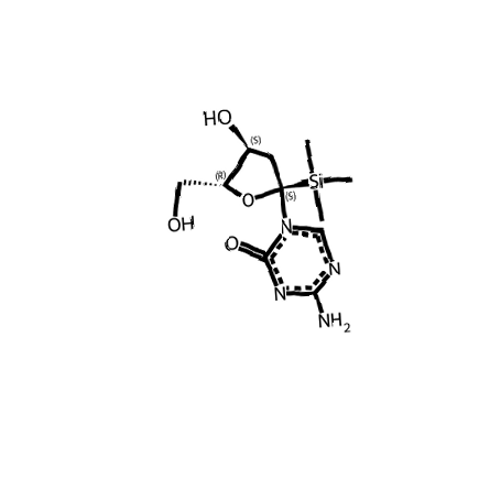 C[Si](C)(C)[C@]1(n2cnc(N)nc2=O)C[C@H](O)[C@@H](CO)O1